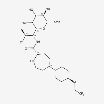 CSC1O[C@H]([C@H](NC(=O)[C@@H]2CC[C@H]([C@H]3CC[C@H](NCC(F)(F)F)CC3)CCN2)[C@H](C)Cl)C(O)C(O)[C@H]1O